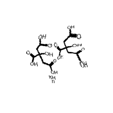 O=C(O)CC(O)(CC(=O)O)C(=O)O.O=C(O)CC(O)(CC(=O)O)C(=O)O.[KH].[Ti]